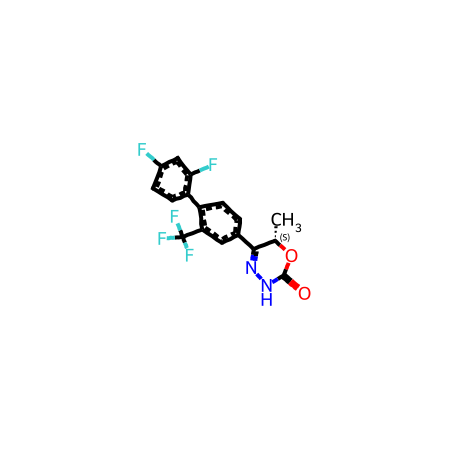 C[C@@H]1OC(=O)NN=C1c1ccc(-c2ccc(F)cc2F)c(C(F)(F)F)c1